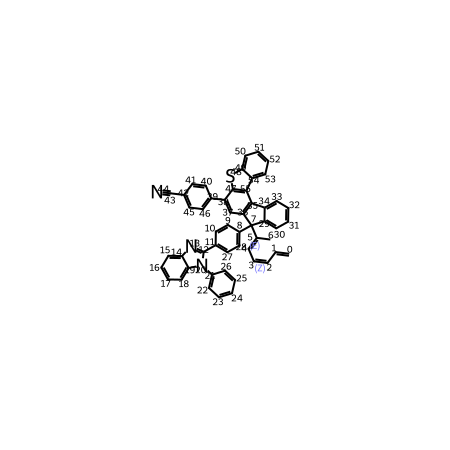 C=C/C=C\C=C(/C)C1(c2ccc(-c3nc4ccccc4n3-c3ccccc3)cc2)c2ccccc2-c2c1cc(-c1ccc(C#N)cc1)c1sc3ccccc3c21